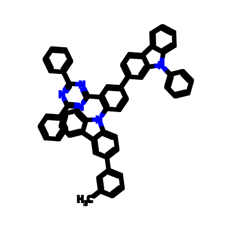 Cc1cccc(-c2ccc3c(c2)c2ccccc2n3-c2ccc(-c3ccc4c5ccccc5n(-c5ccccc5)c4c3)cc2-c2nc(-c3ccccc3)nc(-c3ccccc3)n2)c1